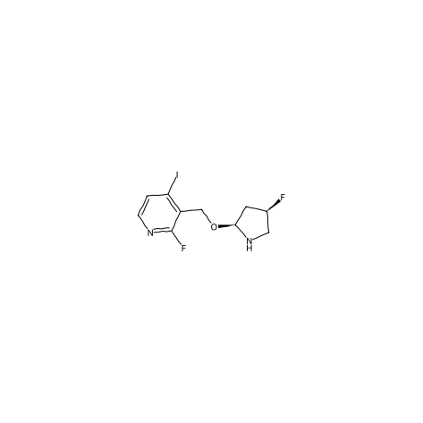 Fc1nccc(I)c1CO[C@H]1C[C@@H](F)CN1